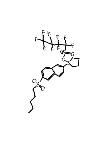 CCCCCS(=O)(=O)c1ccc2cc(S3(OS(=O)(=O)C(F)(F)C(F)(F)C(F)(F)C(F)(F)F)CCCC3)ccc2c1